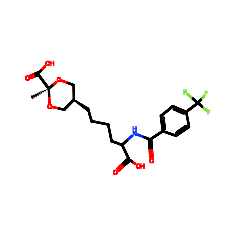 C[C@]1(C(=O)O)OC[C@@H](CCCCC(NC(=O)c2ccc(C(F)(F)F)cc2)C(=O)O)CO1